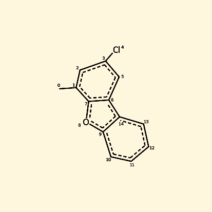 Cc1cc(Cl)cc2c1oc1ccccc12